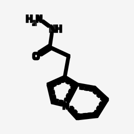 NNC(=O)Cc1ccn2ccccc12